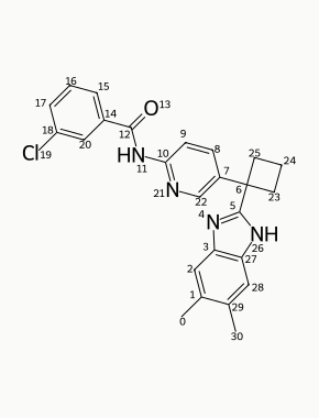 Cc1cc2nc(C3(c4ccc(NC(=O)c5cccc(Cl)c5)nc4)CCC3)[nH]c2cc1C